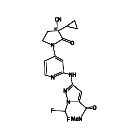 CNC(=O)c1cc(Nc2cc(N3CC[C@@](C#N)(C4CC4)C3=O)ccn2)nn1C(F)F